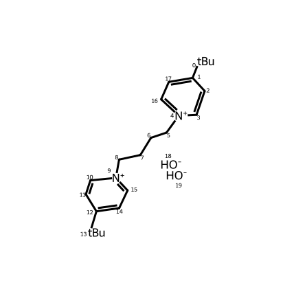 CC(C)(C)c1cc[n+](CCCC[n+]2ccc(C(C)(C)C)cc2)cc1.[OH-].[OH-]